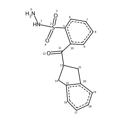 NNS(=O)(=O)c1ccccc1C(=O)C1Cc2ccccc2C1